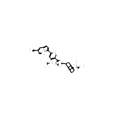 CC(=O)NC12C3C4C1C1C2C3C41c1nnc(-c2cnc(-c3ccc4cc(C#N)cnn34)cc2NC(C)C)s1